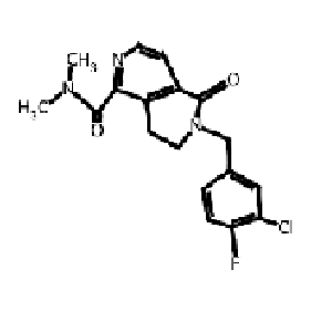 CN(C)C(=O)c1n[c][c]c2c1CCN(Cc1ccc(F)c(Cl)c1)C2=O